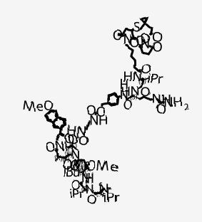 CC[C@H](C)[C@@H]([C@@H](CC(=O)N1C[C@@H](OC(=O)NCCNC(=O)OCc2ccc(NC(=O)[C@H](CCCNC(N)=O)NC(=O)[C@@H](NC(=O)CCCCCN3C(=O)CC(SCC4(CC(=O)ON5C(=O)CCC5=O)CC4)C3=O)C(C)C)cc2)C[C@H]1[C@H](OC)[C@@H](C)C(=O)NCC(=O)c1ccc2cc(OC)ccc2c1)OC)N(C)C(=O)[C@@H](NC(=O)[C@H](C(C)C)N(C)C)C(C)C